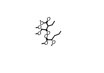 CCC(C(=O)OC)C(=O)C(OC)OC.CCCC(OC)C(=O)OC